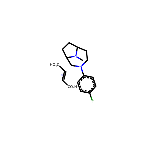 CN1C2CCC1CN(c1ccc(F)cc1)CC2.O=C(O)/C=C/C(=O)O